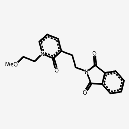 COCCn1cccc(CCN2C(=O)c3ccccc3C2=O)c1=O